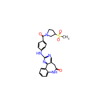 CS(=O)(=O)C1CCN(C(=O)c2ccc(Nc3ncc4c(n3)-c3ccccc3NC(=O)C4)cc2)C1